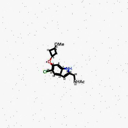 CO[C@H]1C[C@@H](Oc2cc3[nH]c(CNC(C)=O)cc3cc2Cl)C1